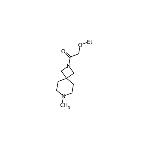 CCOCC(=O)N1CC2(CCN(C)CC2)C1